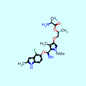 CNn1cc(OC[C@@H](C)OC(=O)[C@H](C)N)c(C)c1C(=N)Oc1ccc2[nH]c(C)cc2c1F